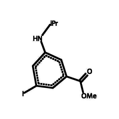 COC(=O)c1cc(I)cc(NC(C)C)c1